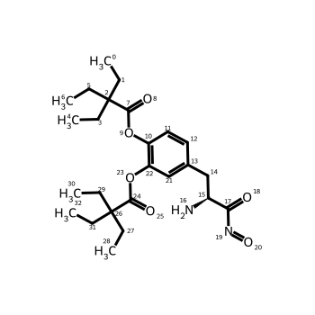 CCC(CC)(CC)C(=O)Oc1ccc(C[C@H](N)C(=O)N=O)cc1OC(=O)C(CC)(CC)CC